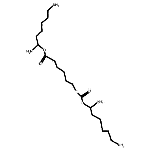 NCCCCCC(N)OC(=O)CCCCCCC(=O)OC(N)CCCCCN